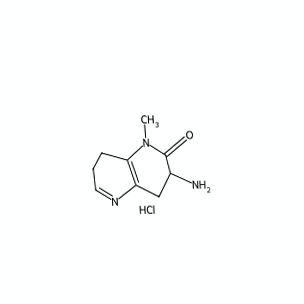 CN1C(=O)C(N)CC2=C1CCC=N2.Cl